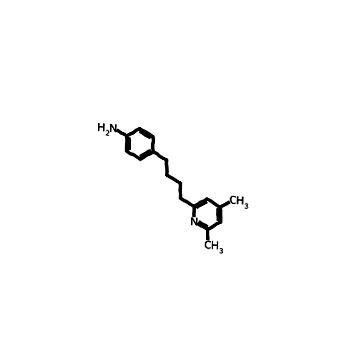 Cc1cc(C)nc(CCCCc2ccc(N)cc2)c1